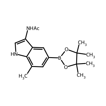 CC(=O)Nc1c[nH]c2c(C)cc(B3OC(C)(C)C(C)(C)O3)cc12